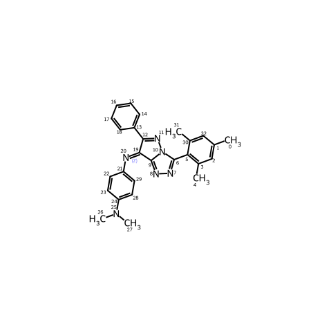 Cc1cc(C)c(-c2nnc3n2N=C(c2ccccc2)/C3=N/c2ccc(N(C)C)cc2)c(C)c1